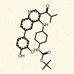 CC(C)C(=O)c1cnc2ccc(-c3ccc(O)c(Cl)c3)cc2c1NC1CCC(NC(=O)OC(C)(C)C)CC1